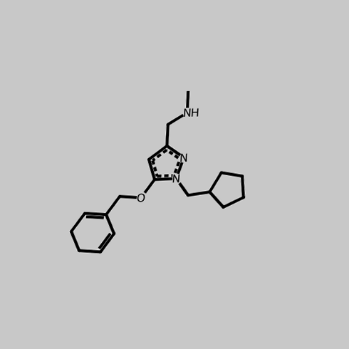 CNCc1cc(OCC2=CCCC=C2)n(CC2CCCC2)n1